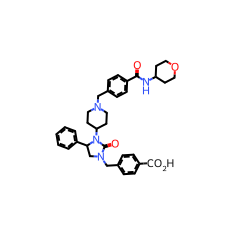 O=C(O)c1ccc(CN2CC(c3ccccc3)N(C3CCN(Cc4ccc(C(=O)NC5CCOCC5)cc4)CC3)C2=O)cc1